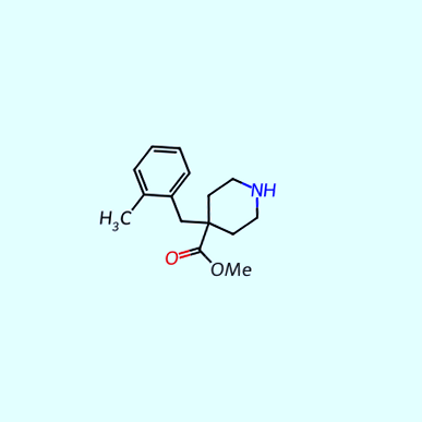 COC(=O)C1(Cc2ccccc2C)CCNCC1